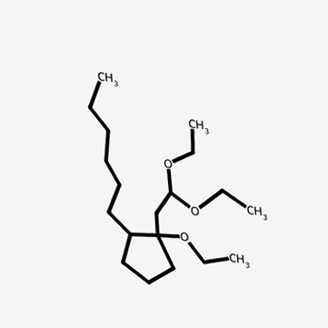 CCCCCCC1CCCC1(CC(OCC)OCC)OCC